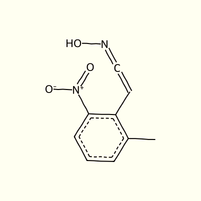 Cc1cccc([N+](=O)[O-])c1C=C=NO